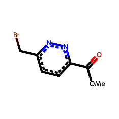 COC(=O)c1ccc(CBr)nn1